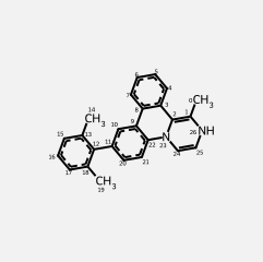 CC1=C2c3ccccc3-c3cc(-c4c(C)cccc4C)ccc3N2C=CN1